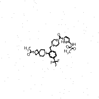 CC(=O)N1CC2(CCN(c3cc(C(F)(F)F)ccc3CN3CCN(C(=O)N4C=CC(NS(C)(=O)=O)N4)CC3)CC2)C1